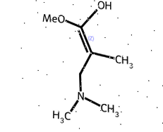 CO/C(O)=C(/C)CN(C)C